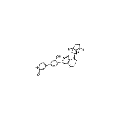 Cn1ccc(-c2ccc(-c3cc4c(nn3)N([C@@H]3C[C@H]5CC[C@@H](C3)N5)CCCS4)c(O)c2)cc1=O